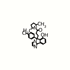 CC1CCC(C)N1C(=O)CCC1(c2ccc(Cl)cc2)c2c(O)cccc2-c2nccn21